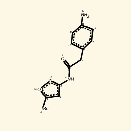 CC(C)(C)c1cc(NC(=O)Cc2ccc(N)cc2)no1